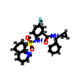 O=C(NC(c1ccccc1)C1CC1)c1cc(F)ccc1NS(=O)(=O)c1cccc2cccnc12